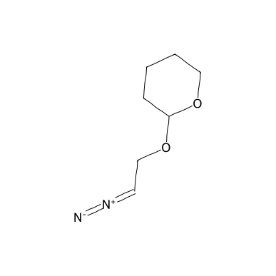 [N-]=[N+]=CCOC1CCCCO1